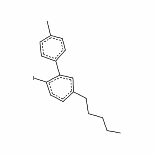 CCCCCc1ccc(I)c(-c2ccc(C)cc2)c1